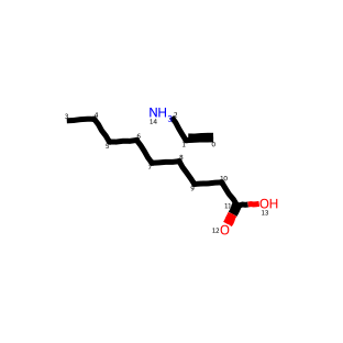 C=CC.CCCCCCCCC(=O)O.N